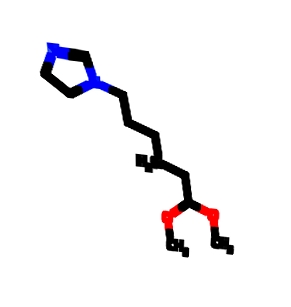 COC(C[SiH2]CCCN1C=NCC1)OC